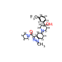 Cn1nc(C(=O)N2CCCC2)c2c1CC[C@H](N1CCC(O)(c3cccc(C(F)(F)F)c3)CC1)C2